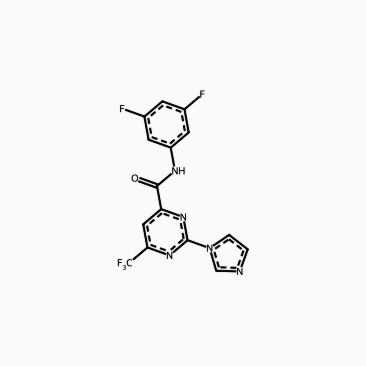 O=C(Nc1cc(F)cc(F)c1)c1cc(C(F)(F)F)nc(-n2ccnc2)n1